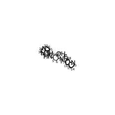 [2H]C([2H])(N[C@H]1CC[C@H](NCc2cc3cccnc3cc2F)[C@H](O)C1)c1cccn2ccnc12